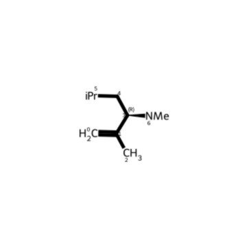 C=C(C)[C@@H](CC(C)C)NC